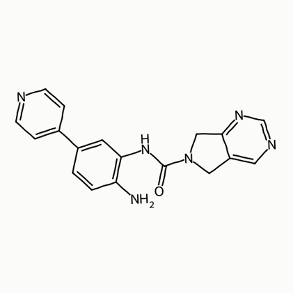 Nc1ccc(-c2ccncc2)cc1NC(=O)N1Cc2cncnc2C1